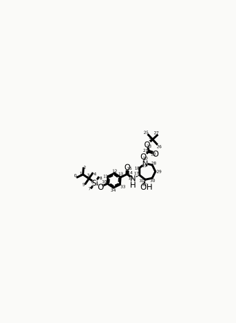 CC(C)C(C)(C)[Si](C)(C)Oc1ccc(C(=O)N[C@@H]2CN(OC(=O)OC(C)(C)C)CCC[C@H]2O)cc1